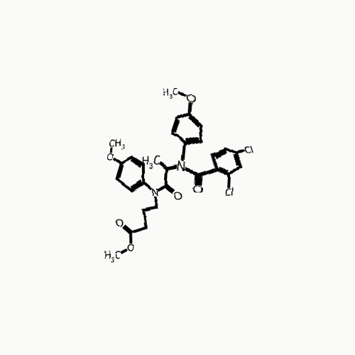 COC(=O)CCCN(C(=O)C(C)N(C(=O)c1ccc(Cl)cc1Cl)c1ccc(OC)cc1)c1ccc(OC)cc1